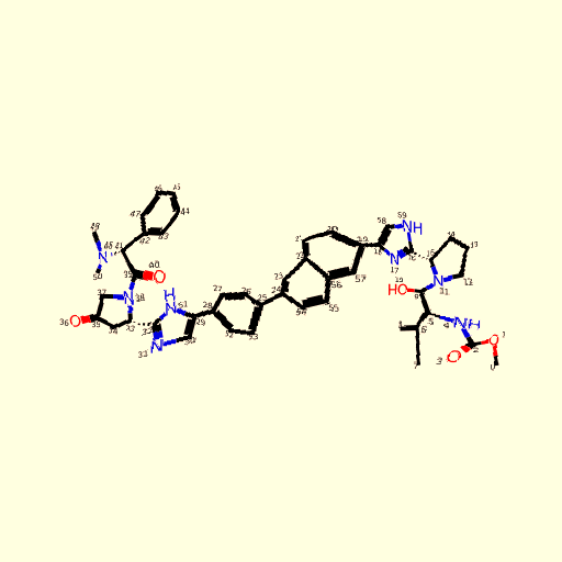 COC(=O)N[C@@H](C(C)C)C(O)N1CCC[C@H]1c1nc(-c2ccc3cc(-c4ccc(-c5cnc([C@@H]6CC(=O)CN6C(=O)[C@@H](c6ccccc6)N(C)C)[nH]5)cc4)ccc3c2)c[nH]1